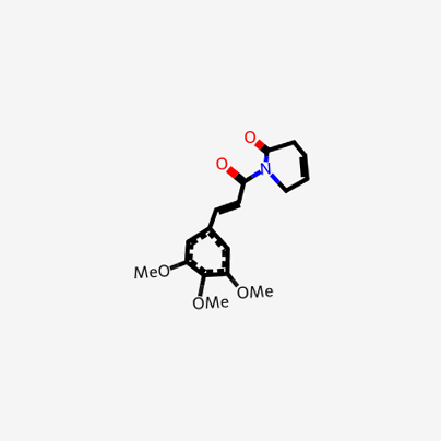 COc1cc(/C=C/C(=O)N2CC=CCC2=O)cc(OC)c1OC